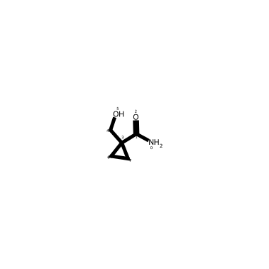 NC(=O)C1([CH]O)CC1